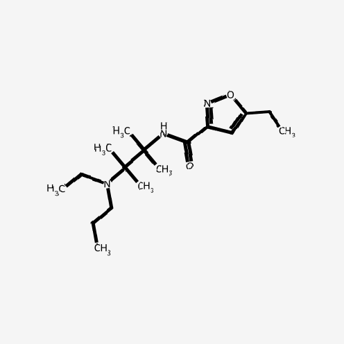 CCCN(CC)C(C)(C)C(C)(C)NC(=O)c1cc(CC)on1